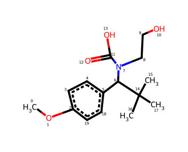 COc1ccc(C(N(CCO)C(=O)O)C(C)(C)C)cc1